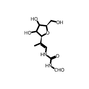 C/C(=C\NC(=O)NC=O)[C@@H]1O[C@H](CO)C(O)C1O